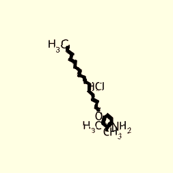 CCCCCCCCCCCCCCCCCCOc1ccc(N)c(C)c1C.Cl